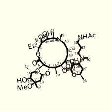 CC[C@H]1OC(=O)[C@H](C)[C@@H](O[C@H]2C[C@@](C)(OC)[C@@H](O)[C@H](C)O2)[C@H](C)[C@@H](O[C@@H]2O[C@H](C)C[C@H](N(C)CCCNC(C)=O)[C@H]2O)[C@](C)(O)C[C@@H](C)CN(C)[C@H](C)[C@@H](O)[C@]1(C)O